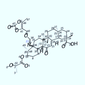 CO[C@@H](C)C(=O)O[C@H]1CC[C@]2(C)[C@H]3C(=O)C=C4[C@@H]5C[C@@](C)(C(=O)O)CC[C@]5(C)CC[C@@]4(C)[C@]3(C)CC[C@@]2(/N=C/OCc2oc(=O)oc2C)[C@H]1C